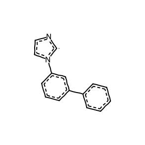 [c]1nccn1-c1cccc(-c2ccccc2)c1